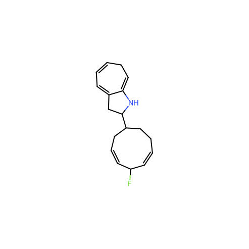 FC1C=CCCC(C2CC3=CC=CCC=C3N2)C/C=C\1